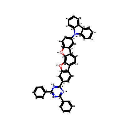 c1ccc(-c2nc(-c3ccccc3)nc(-c3ccc4c(c3)oc3c4ccc4c5cc(-n6c7ccccc7c7ccccc76)ccc5oc43)n2)cc1